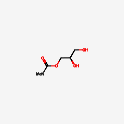 CNC(=O)OC[C@H](O)CO